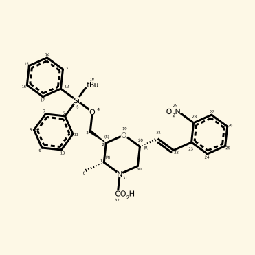 C[C@@H]1[C@@H](CO[Si](c2ccccc2)(c2ccccc2)C(C)(C)C)O[C@H](C=Cc2ccccc2[N+](=O)[O-])CN1C(=O)O